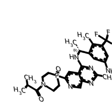 Cc1nc(N[C@H](C)c2cc(N)cc(C(F)(F)F)c2C)c2cc(P3(=O)CCN(C(=O)C(C)C)CC3)ncc2n1